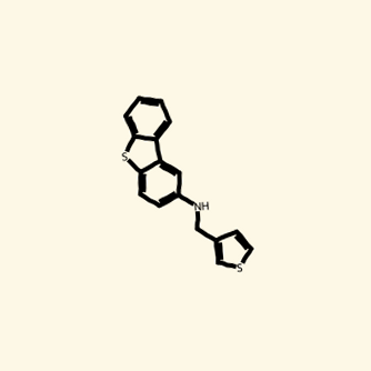 c1ccc2c(c1)sc1ccc(NCc3ccsc3)cc12